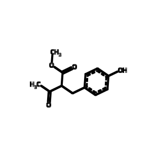 COC(=O)C(Cc1ccc(O)cc1)C(C)=O